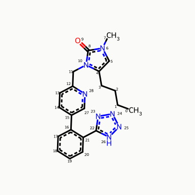 CCCCc1cn(C)c(=O)n1Cc1ccc(-c2ccccc2-c2nnn[nH]2)cn1